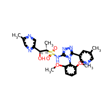 COc1cccc(OC)c1-n1c(NS(=O)(=O)[C@@H](C)[C@@H](O)c2cnc(C)cn2)nnc1-c1cncc(C)c1